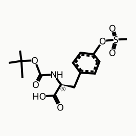 CC(C)(C)OC(=O)N[C@@H](Cc1ccc(OS(C)(=O)=O)cc1)C(=O)O